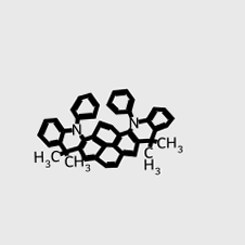 CC1(C)c2ccccc2N(c2ccccc2)c2c1cc1ccc3cc4c(c5ccc2c1c35)N(c1ccccc1)c1ccccc1C4(C)C